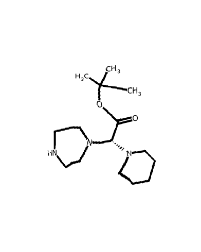 CC(C)(C)OC(=O)[C@H](N1CCCCC1)N1CCNCC1